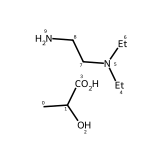 CC(O)C(=O)O.CCN(CC)CCN